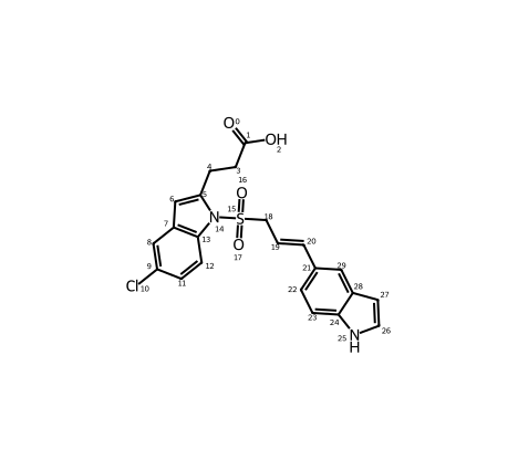 O=C(O)CCc1cc2cc(Cl)ccc2n1S(=O)(=O)CC=Cc1ccc2[nH]ccc2c1